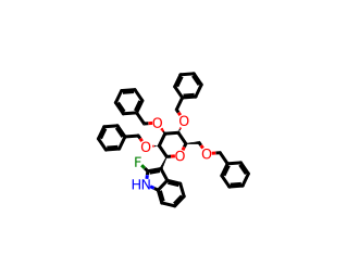 Fc1[nH]c2ccccc2c1[C@@H]1O[C@H](COCc2ccccc2)[C@@H](OCc2ccccc2)[C@H](OCc2ccccc2)[C@H]1OCc1ccccc1